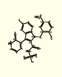 Cc1ccc2c(c1)c(-c1ccc[nH]c1=O)c(C(=O)NS(C)(=O)=O)n2Cc1cc(C(=O)O)ccc1F